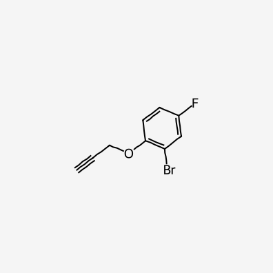 C#CCOc1ccc(F)cc1Br